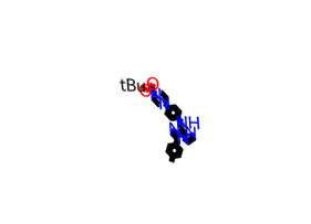 Cc1ccc(-c2cnc(Nc3ccc(N4CCN(C(=O)OC(C)(C)C)CC4)cc3)c3nccn23)cc1